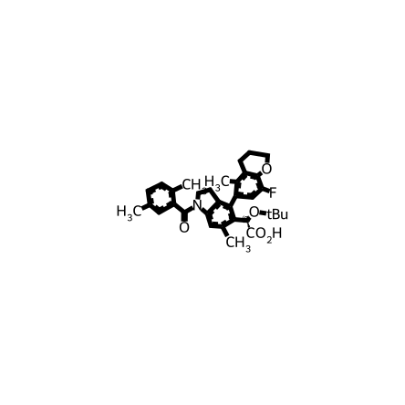 Cc1ccc(C)c(C(=O)N2CCc3c2cc(C)c([C@H](OC(C)(C)C)C(=O)O)c3-c2cc(F)c3c(c2C)CCCO3)c1